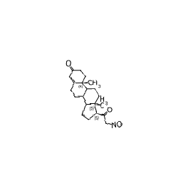 C[C@]12CCC(=O)C=C1CCC1C2CC[C@@]2(C)C1CC[C@@H]2C(=O)CN=O